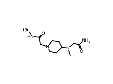 CN(CC(N)=O)C1CCN(CC(=O)NC(C)(C)C)CC1